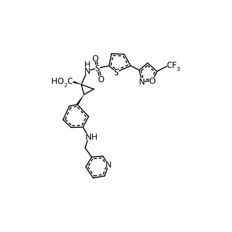 O=C(O)[C@@]1(NS(=O)(=O)c2ccc(-c3cc(C(F)(F)F)on3)s2)C[C@H]1c1cccc(NCc2cccnc2)c1